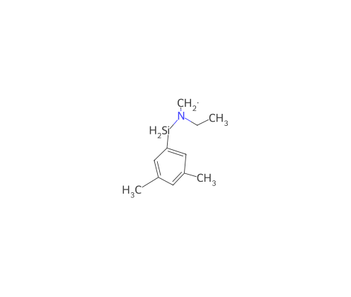 [CH2]N(CC)[SiH2]c1cc(C)cc(C)c1